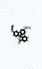 N#COc1ccc(C2(c3ccc(N=C=O)cc3)OC(=O)c3ccccc32)cc1